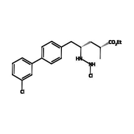 CCOC(=O)[C@H](C)C[C@@H](Cc1ccc(-c2cccc(Cl)c2)cc1)NNCl